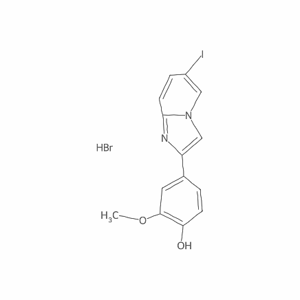 Br.COc1cc(-c2cn3cc(I)ccc3n2)ccc1O